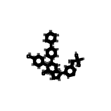 CS(=O)(=O)Nc1cccc(-n2cnc3c(=O)n(-c4ccc(Cl)cc4)c(-c4ccc(-c5cnccn5)cc4)nc32)c1